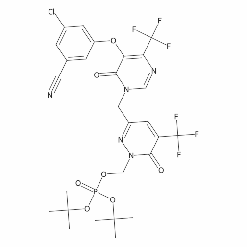 CC(C)(C)OP(=O)(OCn1nc(Cn2cnc(C(F)(F)F)c(Oc3cc(Cl)cc(C#N)c3)c2=O)cc(C(F)(F)F)c1=O)OC(C)(C)C